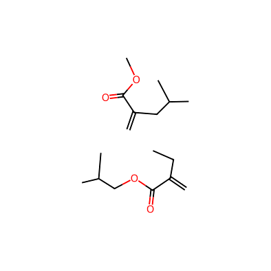 C=C(CC(C)C)C(=O)OC.C=C(CC)C(=O)OCC(C)C